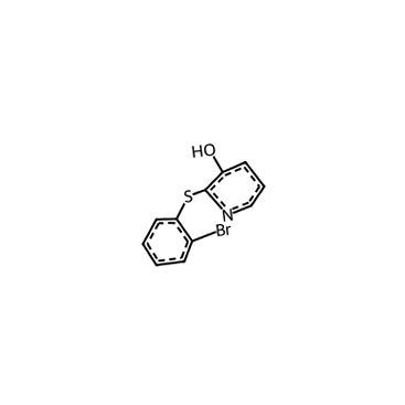 Oc1cccnc1Sc1ccccc1Br